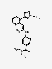 CN(C)C(=O)c1ccc(Nc2cc3c(-c4cnn(C)c4)cccc3cn2)cc1